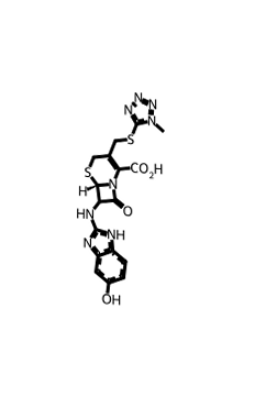 Cn1nnnc1SCC1=C(C(=O)O)N2C(=O)C(Nc3nc4cc(O)ccc4[nH]3)[C@@H]2SC1